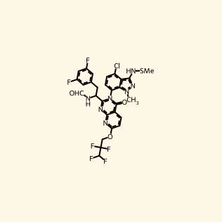 CSNc1nn(C)c2c(-n3c(C(Cc4cc(F)cc(F)c4)NC=O)nc4nc(OCC(F)(F)C(F)F)ccc4c3=O)ccc(Cl)c12